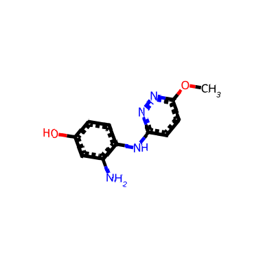 COc1ccc(Nc2ccc(O)cc2N)nn1